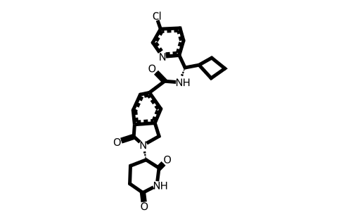 O=C1CC[C@H](N2Cc3cc(C(=O)N[C@H](c4ccc(Cl)cn4)C4CCC4)ccc3C2=O)C(=O)N1